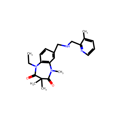 CCN1C(=O)C(C)(C)C(=O)N(C)c2cc(CNCc3ncccc3C)ccc21